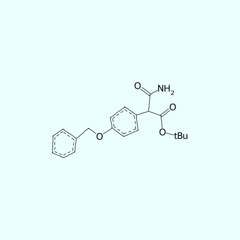 CC(C)(C)OC(=O)C(C(N)=O)c1ccc(OCc2ccccc2)cc1